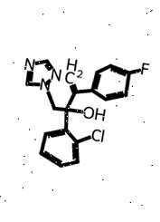 C=C(c1ccc(F)cc1)C(O)(Cn1cncn1)c1ccccc1Cl